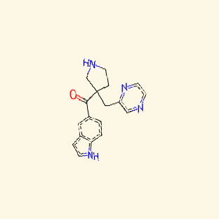 O=C(c1ccc2[nH]ccc2c1)C1(Cc2cnccn2)CCNC1